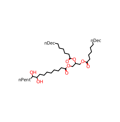 CCCCCCCCCCCCCCCC(=O)OCC(COC(=O)CCCCCCCC(O)C(O)CCCCC)OC(=O)CCCCCCCCCCCCCCC